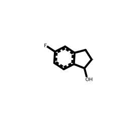 OC1[CH]Cc2cc(F)ccc21